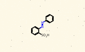 O=S(=O)(O)c1ccccc1N=Nc1ccccc1